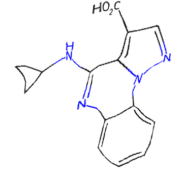 O=C(O)c1cnn2c1c(NC1CC1)nc1ccccc12